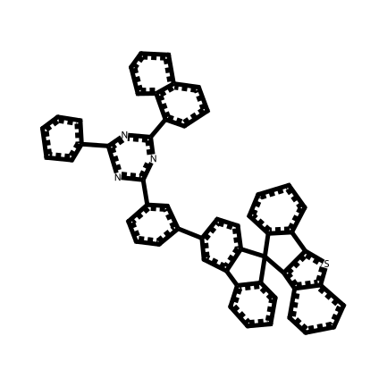 c1ccc(-c2nc(-c3cccc(-c4ccc5c(c4)-c4ccccc4C54c5ccccc5-c5sc6ccccc6c54)c3)nc(-c3cccc4ccccc34)n2)cc1